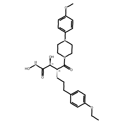 CCOc1ccc(CCC[C@@H](C(=O)N2CCN(c3ccc(OC)cc3)CC2)[C@H](O)C(=O)NO)cc1